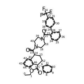 CCOC(=O)[C@]1(c2ccccc2)CCC(C(=O)N2CCN(C(=O)c3ccccc3-c3ccc(C(F)(F)F)cc3)CC2)c2ccccc21